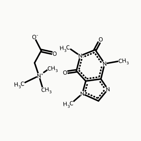 C[N+](C)(C)CC(=O)[O-].Cn1c(=O)c2c(ncn2C)n(C)c1=O